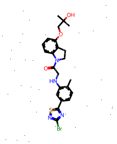 Cc1ccc(-c2nc(Br)ns2)cc1NCC(=O)N1CCc2c(OCC(C)(C)O)cccc21